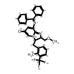 COCC1N=C2C(N=C(c3ccccc3)c3ccccc3)=CC(Cl)=CN2C1Cc1cccc(C(F)(F)F)c1C